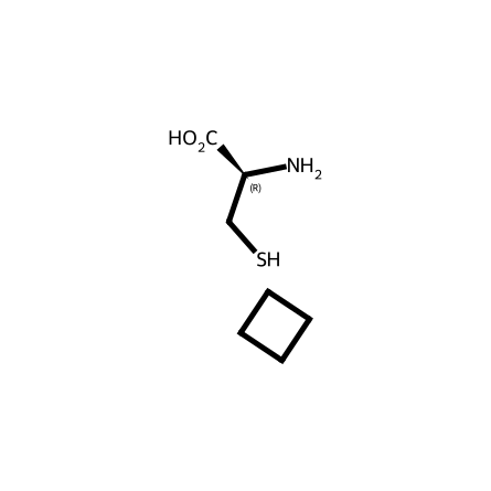 C1CCC1.N[C@@H](CS)C(=O)O